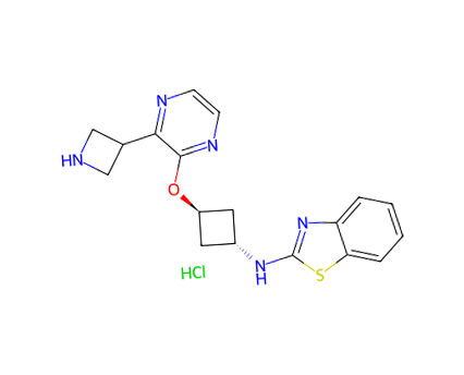 Cl.c1ccc2sc(N[C@H]3C[C@H](Oc4nccnc4C4CNC4)C3)nc2c1